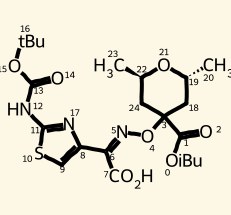 CC(C)COC(=O)C1(O/N=C(\C(=O)O)c2csc(NC(=O)OC(C)(C)C)n2)C[C@@H](C)O[C@H](C)C1